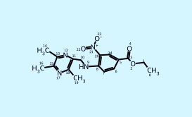 CCOC(=O)c1ccc(NCc2nc(C)c(C)nc2C)c([N+](=O)[O-])c1